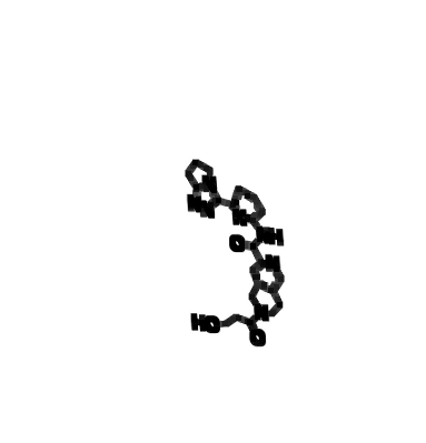 O=C(Nc1cccc(-c2nnc3n2CCC3)n1)c1cc2c(cn1)CCN(C(=O)CCO)C2